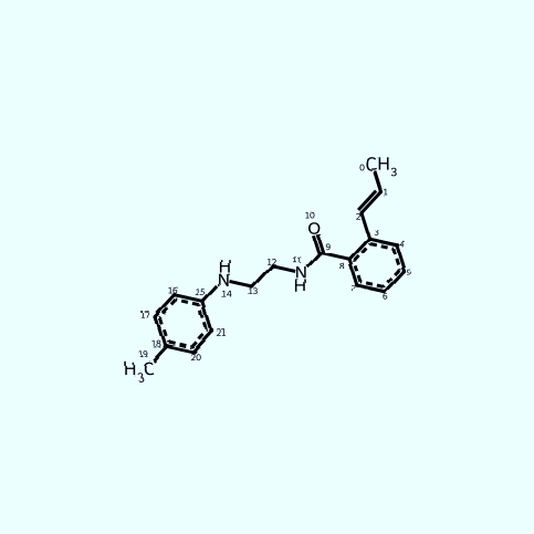 CC=Cc1ccccc1C(=O)NCCNc1ccc(C)cc1